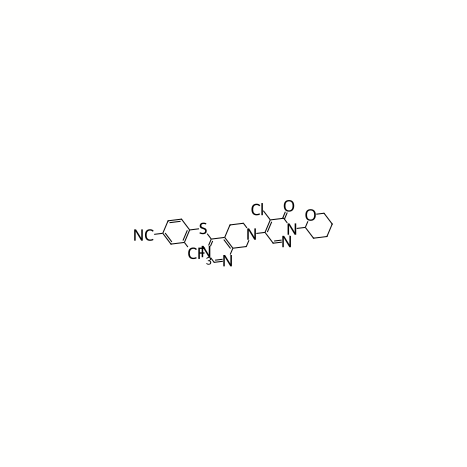 N#Cc1ccc(Sc2ncnc3c2CCN(c2cnn(C4CCCCO4)c(=O)c2Cl)C3)c(C(F)(F)F)c1